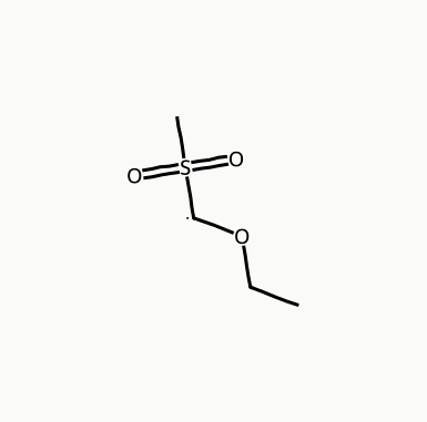 CCO[CH]S(C)(=O)=O